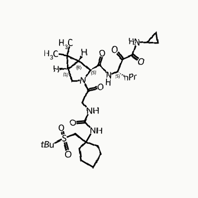 CCC[C@H](NC(=O)[C@@H]1[C@@H]2[C@H](CN1C(=O)CNC(=O)NC1(CS(=O)(=O)C(C)(C)C)CCCCC1)C2(C)C)C(=O)C(=O)NC1CC1